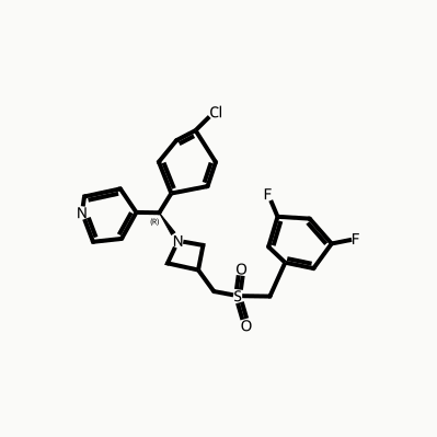 O=S(=O)(Cc1cc(F)cc(F)c1)CC1CN([C@@H](c2ccncc2)c2ccc(Cl)cc2)C1